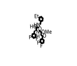 CCc1cccc(CNC[C@H](O)[C@H](Cc2cc(F)cc(F)c2)NC(=O)C(CC(=O)c2ccc(F)c(F)c2)OC)c1